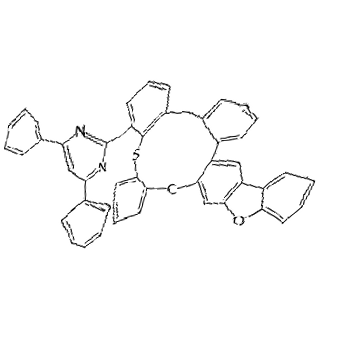 c1ccc(-c2cc(-c3ccccc3)nc(-c3cccc4c3Sc3ccccc3Cc3cc5oc6ccccc6c5cc3-c3ccccc3C4)n2)cc1